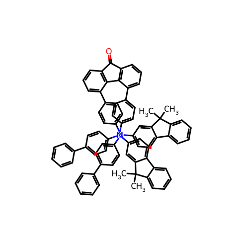 CC1(C)c2ccccc2-c2ccc(N(c3ccc(-c4ccccc4)cc3)c3ccc(-c4cccc5c4-c4c(cccc4-c4ccc(N(c6ccc(-c7ccccc7)cc6)c6ccc7c(c6)C(C)(C)c6ccccc6-7)cc4)C5=O)cc3)cc21